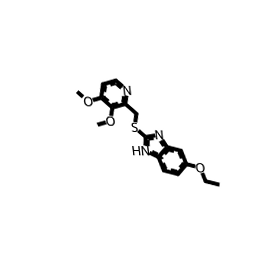 CCOc1ccc2[nH]c(SCc3nccc(OC)c3OC)nc2c1